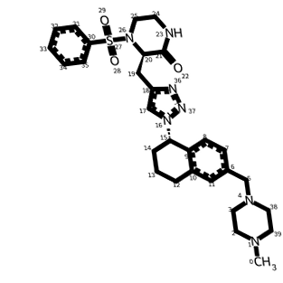 CN1CCN(Cc2ccc3c(c2)CCC[C@@H]3n2cc(C[C@@H]3C(=O)NCCN3S(=O)(=O)c3ccccc3)nn2)CC1